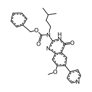 COc1cc2nc(N(CCC(C)C)C(=O)OCc3ccccc3)[nH]c(=O)c2cc1-c1ccncc1